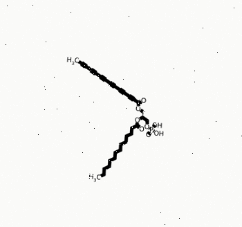 CC#CC#CC#CC#CC#CC#CC(=O)OC[C@H](COP(=O)(O)O)OC(=O)CCCCCCCCCCCCC